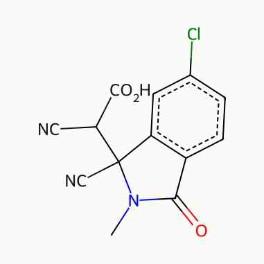 CN1C(=O)c2ccc(Cl)cc2C1(C#N)C(C#N)C(=O)O